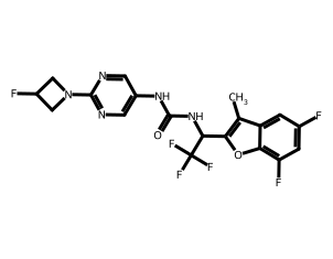 Cc1c(C(NC(=O)Nc2cnc(N3CC(F)C3)nc2)C(F)(F)F)oc2c(F)cc(F)cc12